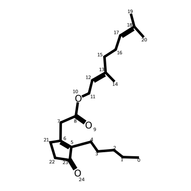 CCCCCC1=C(CC(=O)OC/C=C(\C)CCC=C(C)C)CCC1=O